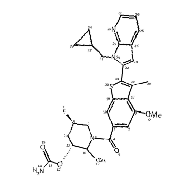 COc1cc(C(=O)N2C[C@H](F)C[C@@H](OC(N)=O)C2C(C)(C)C)cc2sc(-c3cc4cccnc4n3CC3CC3)c(C)c12